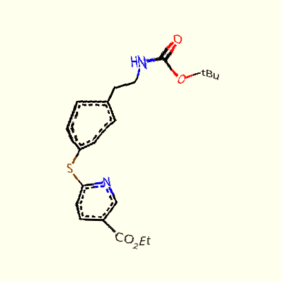 CCOC(=O)c1ccc(Sc2ccc(CCNC(=O)OC(C)(C)C)cc2)nc1